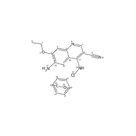 CCOc1cc2ncc(C#N)c(NCl)c2cc1N.c1cc2ccc1CO2